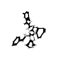 Cc1ccc2oc(C(=O)N[C@@H](CC3CCCCC3)C(=O)N[C@@H](C[C@@H]3CCCNC3=O)C(=O)C(=O)NCc3ccccc3)c(C)c2c1